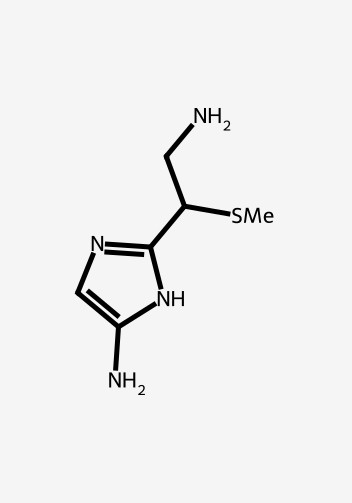 CSC(CN)c1ncc(N)[nH]1